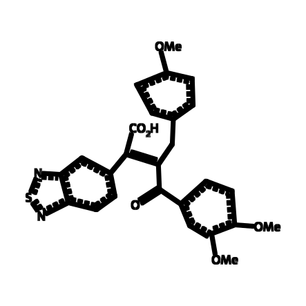 COc1ccc(C/C(C(=O)c2ccc(OC)c(OC)c2)=C(\C(=O)O)c2ccc3nsnc3c2)cc1